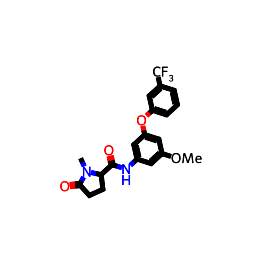 COc1cc(NC(=O)C2CCC(=O)N2C)cc(Oc2cccc(C(F)(F)F)c2)c1